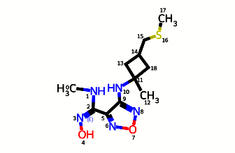 CN/C(=N/O)c1nonc1NC1(C)CC(CSC)C1